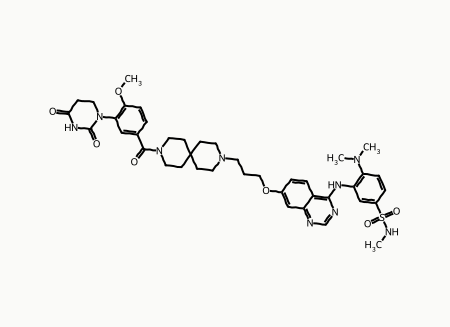 CNS(=O)(=O)c1ccc(N(C)C)c(Nc2ncnc3cc(OCCCN4CCC5(CC4)CCN(C(=O)c4ccc(OC)c(N6CCC(=O)NC6=O)c4)CC5)ccc23)c1